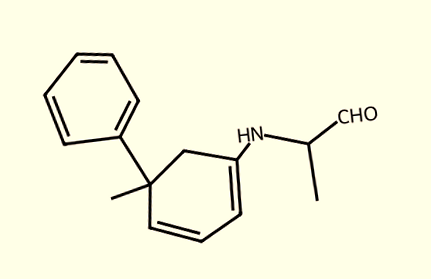 CC(C=O)NC1=CC=CC(C)(c2ccccc2)C1